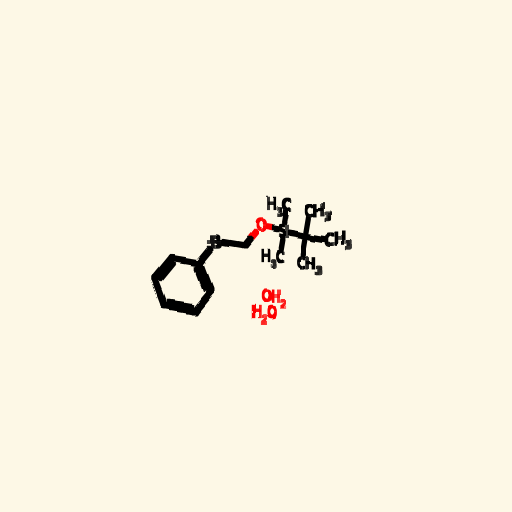 CC(C)(C)[Si](C)(C)OC[B]c1ccccc1.O.O